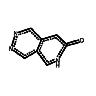 O=c1cc2cnncc2c[nH]1